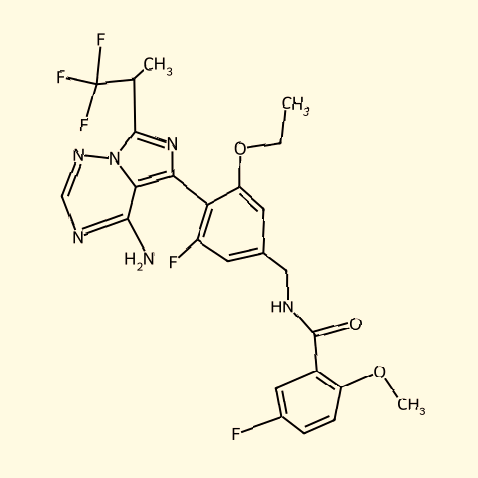 CCOc1cc(CNC(=O)c2cc(F)ccc2OC)cc(F)c1-c1nc(C(C)C(F)(F)F)n2ncnc(N)c12